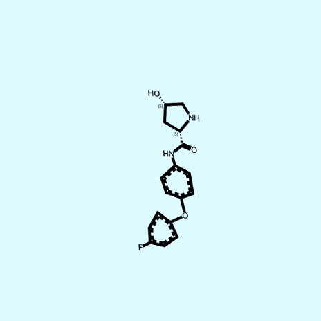 O=C(Nc1ccc(Oc2ccc(F)cc2)cc1)[C@@H]1C[C@H](O)CN1